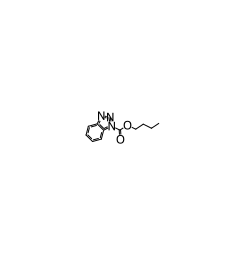 CCCCOC(=O)n1nnc2ccccc21